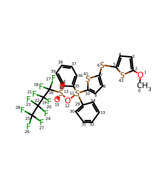 COc1ccc(Sc2ccc(S(OS(=O)(=O)C(F)(F)C(F)(F)C(F)(F)C(F)(F)F)(c3ccccc3)c3ccccc3)s2)s1